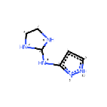 c1cc(NC2NCCN2)n[nH]1